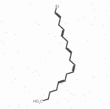 CCC=CCC=CCC=CC/C=C\C/C=C/CCCC(=O)O